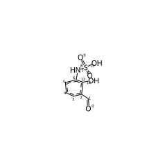 O=Cc1cccc(NS(=O)(=O)O)c1O